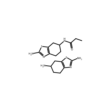 CCC(=O)NC1CCc2nc(N)sc2C1.Nc1nc2c(s1)CC(N)CC2